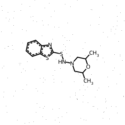 CC1CN(NSc2nc3ccccc3s2)CC(C)O1